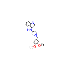 CCOc1ccc(CN2CCC(Nc3ccnc4ccccc34)CC2)cc1OCC